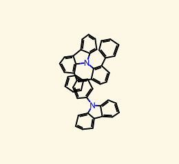 c1ccc(-c2cccc(-c3ccccc3)c2-n2c3ccccc3c3cccc(-c4ccc(-n5c6ccccc6c6ccccc65)cc4)c32)cc1